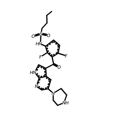 CCCCS(=O)(=O)Nc1ccc(F)c(C(=O)c2c[nH]c3ncc(N4CCNCC4)cc23)c1F